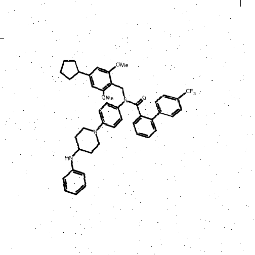 COc1cc(C2CCCC2)cc(OC)c1CN(C(=O)c1ccccc1-c1ccc(C(F)(F)F)cc1)c1ccc(N2CCC(Nc3ccccc3)CC2)cc1